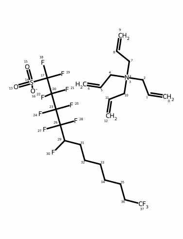 C=CC[N+](CC=C)(CC=C)CC=C.O=S(=O)([O-])C(F)(F)C(F)(F)C(F)(F)C(F)(F)C(F)CCCCCCC(F)(F)F